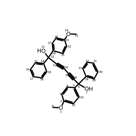 COc1ccc(C(O)(C#CC#CC(O)(c2ccccc2)c2ccc(OC)cc2)c2ccccc2)cc1